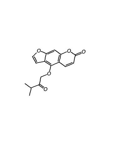 CC(C)C(=O)COc1c2ccoc2cc2oc(=O)ccc12